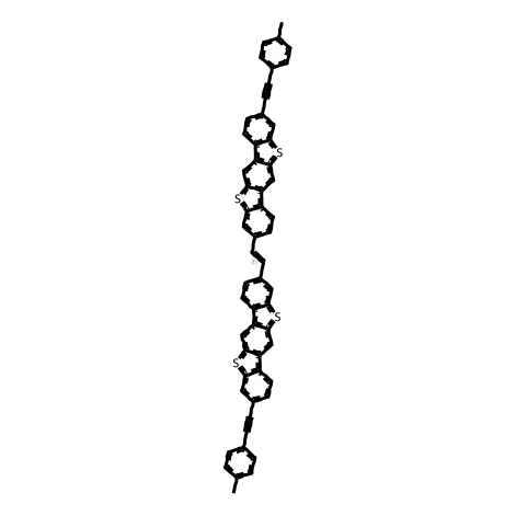 Cc1ccc(C#Cc2ccc3c(c2)sc2cc4c(cc23)sc2cc(/C=C/c3ccc5c(c3)sc3cc6c(cc35)sc3cc(C#Cc5ccc(C)cc5)ccc36)ccc24)cc1